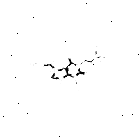 CN(C)CCn1c(=O)c2c(ncn2CC(=O)O)n(C)c1=O